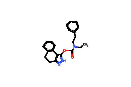 CCN(CCc1ccccc1)C(=O)Oc1[nH]nc2c1-c1ccccc1CC2